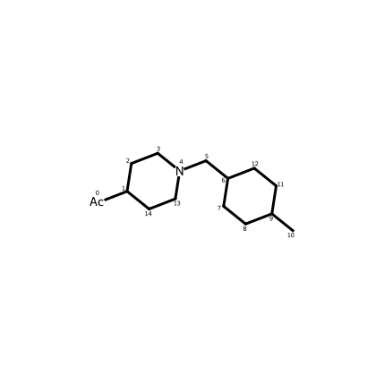 CC(=O)C1CCN(CC2CCC(C)CC2)CC1